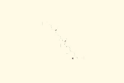 CCCC(=O)OCOC(=O)NC[C@H](F)CS(=O)O